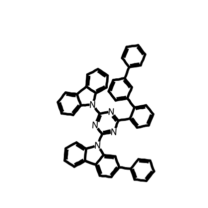 c1ccc(-c2cccc(-c3ccccc3-c3nc(-n4c5ccccc5c5ccccc54)nc(-n4c5ccccc5c5ccc(-c6ccccc6)cc54)n3)c2)cc1